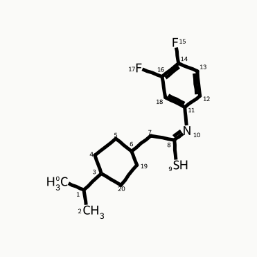 CC(C)C1CCC(C/C(S)=N\c2ccc(F)c(F)c2)CC1